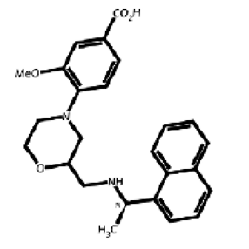 COc1cc(C(=O)O)ccc1N1CCOC(CN[C@H](C)c2cccc3ccccc23)C1